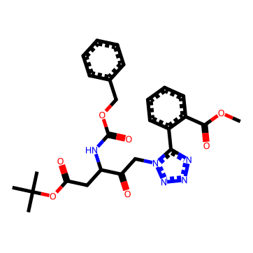 COC(=O)c1ccccc1-c1nnnn1CC(=O)C(CC(=O)OC(C)(C)C)NC(=O)OCc1ccccc1